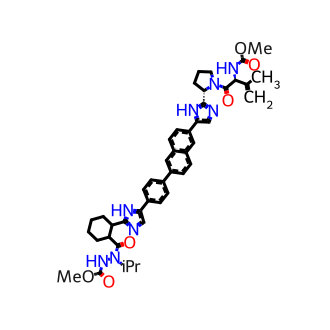 C=C(C)[C@H](NC(=O)OC)C(=O)N1CCC[C@H]1c1ncc(-c2ccc3cc(-c4ccc(-c5cnc(C6CCCCC6C(=O)N(NC(=O)OC)C(C)C)[nH]5)cc4)ccc3c2)[nH]1